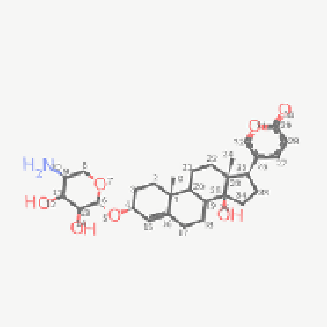 C[C@]12CC[C@H](O[C@H]3OC[C@H](N)C(O)C3O)C=C1CCC1C2CC[C@]2(C)[C@@H](c3ccc(=O)oc3)CC[C@]12O